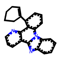 C1=C(c2cccc3c2c2ncccc2c2nc4ccccc4n32)CCCC1